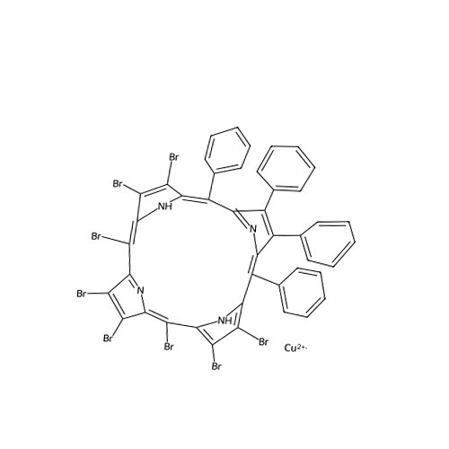 BrC1=C(Br)c2nc1c(Br)c1[nH]c(c(Br)c1Br)c(-c1ccccc1)c1nc(c(-c3ccccc3)c3[nH]c(c2Br)c(Br)c3Br)C(c2ccccc2)=C1c1ccccc1.[Cu+2]